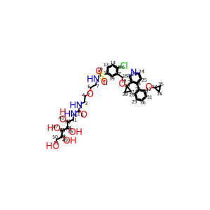 O=C(NCCOCCNS(=O)(=O)c1ccc(Cl)c(COC2(c3cnccc3-c3ccccc3OC3CC3)CC2)c1)NC[C@H](O)[C@@H](O)[C@H](O)[C@H](O)CO